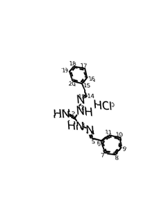 Cl.N=C(NN=Cc1ccccc1)NN=Cc1ccccc1